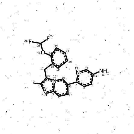 Cc1nc2ccc(-c3ccc(N)cn3)cn2c1Cc1ccccc1OC(F)F